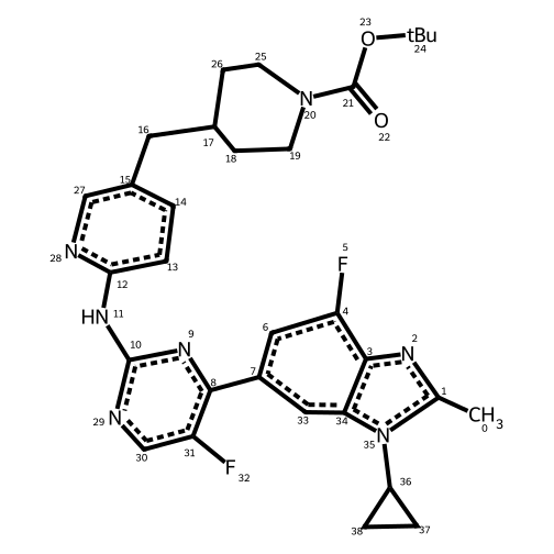 Cc1nc2c(F)cc(-c3nc(Nc4ccc(CC5CCN(C(=O)OC(C)(C)C)CC5)cn4)ncc3F)cc2n1C1CC1